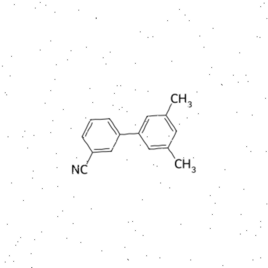 Cc1cc(C)cc(-c2cccc(C#N)c2)c1